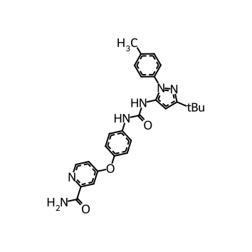 Cc1ccc(-n2nc(C(C)(C)C)cc2NC(=O)Nc2ccc(Oc3ccnc(C(N)=O)c3)cc2)cc1